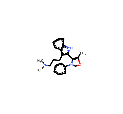 CC1=C(c2[nH]c3ccccc3c2CCCN(C)C)N(c2ccccc2)CO1